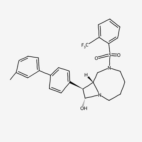 Cc1cccc(-c2ccc([C@@H]3[C@@H](O)N4CCCCN(S(=O)(=O)c5ccccc5C(F)(F)F)C[C@@H]34)cc2)c1